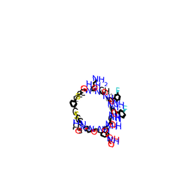 C[C@H]1NC(=O)[C@H](CCCCN)NC(=O)CCSCc2cccc(c2)CSCCN/C(=N\C=O)[C@]2(C)CCCN2C(=O)[C@H](Cc2ccc(O)cc2)NC(=O)[C@H](CCCCNC=O)NC(=O)CNC(=O)[C@H](Cc2c[nH]c3ccc(F)cc23)NC(=O)[C@H](Cc2c[nH]c3ccc(F)cc23)NC1=O